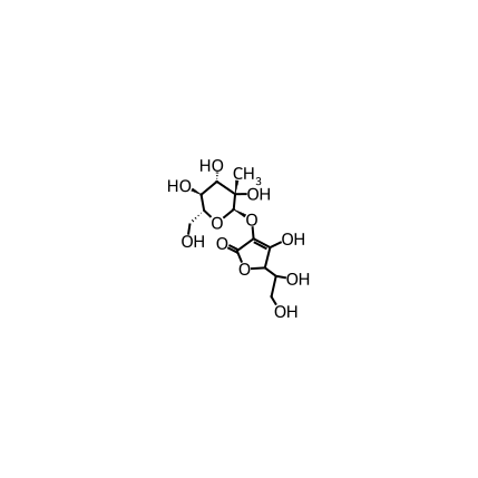 C[C@@]1(O)[C@@H](OC2=C(O)C(C(O)CO)OC2=O)O[C@H](CO)[C@@H](O)[C@@H]1O